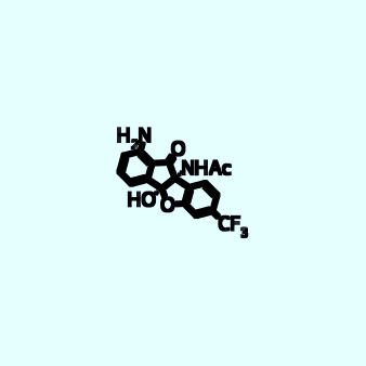 CC(=O)N[C@@]12C(=O)c3c(N)cccc3[C@]1(O)Oc1cc(C(F)(F)F)ccc12